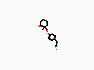 CC1(COc2ccc(CC#N)cc2)CCCCC1=O